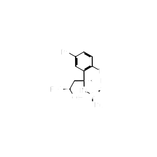 CC(C)(C)[S+]([O-])N[C@@](C)(C[C@@H](O)C(F)(F)F)c1cc(Br)ccc1F